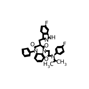 CC(C)N(C(=O)CN1C(=O)C(Cc2n[nH]c3cc(F)ccc23)C(=O)N(c2ccccc2)c2ccccc21)c1ccc(F)cc1